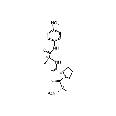 CC(=O)N[C@@H](C)C(=O)N1CCC[C@H]1C(=O)N[C@@H](C)C(=O)Nc1ccc([N+](=O)[O-])cc1